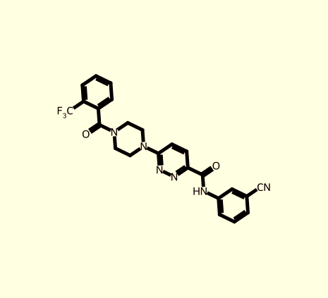 N#Cc1cccc(NC(=O)c2ccc(N3CCN(C(=O)c4ccccc4C(F)(F)F)CC3)nn2)c1